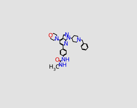 CNC(=O)Nc1ccc(-c2cc(N3CCOCC3)c3cnn(C4CCN(Cc5ccccc5)CC4)c3n2)cc1